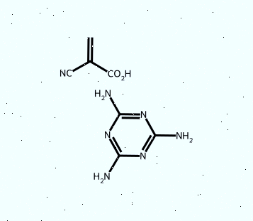 C=C(C#N)C(=O)O.Nc1nc(N)nc(N)n1